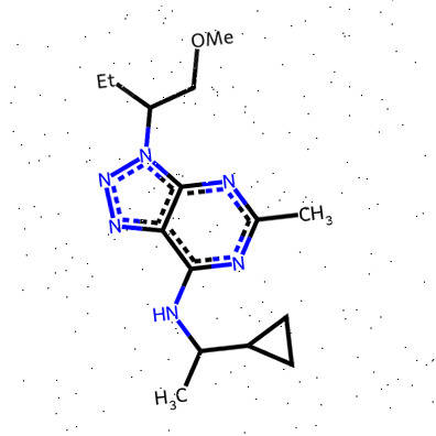 CCC(COC)n1nnc2c(NC(C)C3CC3)nc(C)nc21